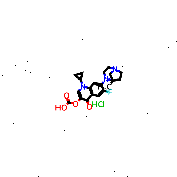 CC12CCN(CCN1c1cc3c(cc1F)c(=O)c(OC(=O)O)cn3C1CC1)C2.Cl